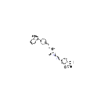 COc1cc(/C=C/C=C/C(=O)NCCN2CCC(c3c[nH]c4ccccc34)CC2)ccc1O